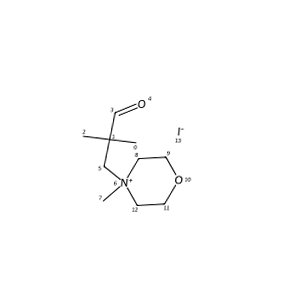 CC(C)(C=O)C[N+]1(C)CCOCC1.[I-]